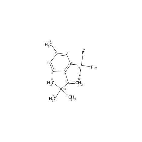 C=C(c1ccc(C)cc1C(F)(F)F)C(C)(C)C